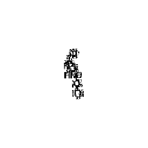 Cc1c(NC(=O)c2ccc(C3CCCCC3)cc2)ccc2cc(Cn3cccc3)cnc12